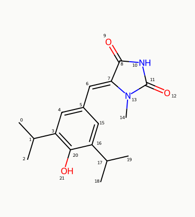 CC(C)c1cc(C=C2C(=O)NC(=O)N2C)cc(C(C)C)c1O